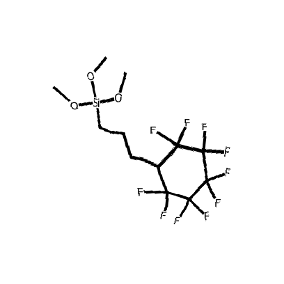 CO[Si](CCCC1C(F)(F)C(F)(F)C(F)(F)C(F)(F)C1(F)F)(OC)OC